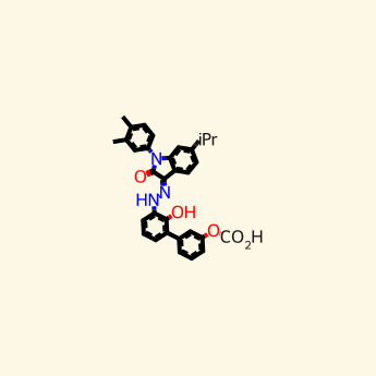 Cc1ccc(N2C(=O)C(=NNc3cccc(-c4cccc(OC(=O)O)c4)c3O)c3ccc(C(C)C)cc32)cc1C